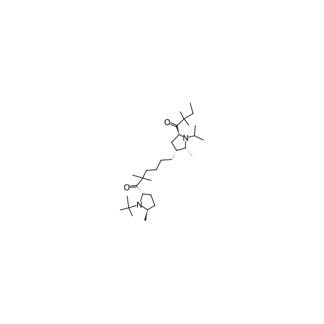 CCC(C)(C)C(=O)[C@@H]1C[C@@H](CCCCC(C)(C)C(=O)[C@@H]2CC[C@@H](C)N2C(C)(C)C)[C@@H](C)N1C(C)C